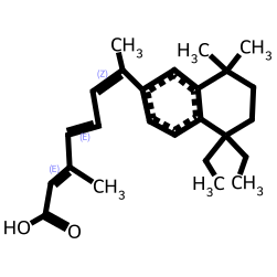 CCC1(CC)CCC(C)(C)c2cc(\C(C)=C/C=C/C(C)=C/C(=O)O)ccc21